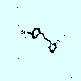 O=c1ccccn1CCCc1ccc(Br)cc1